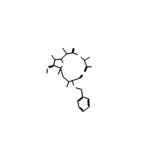 CCC1OC(=O)C(C)C2OC(C)(CC(C)C(OCc3ccccc3)C=C=C1C)/C(=N\O)C2O